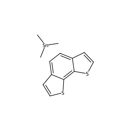 [CH3][Sn]([CH3])[CH3].c1cc2ccc3ccsc3c2s1